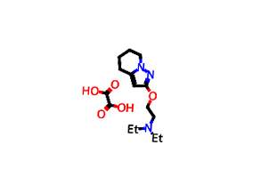 CCN(CC)CCOc1cc2n(n1)CCCC2.O=C(O)C(=O)O